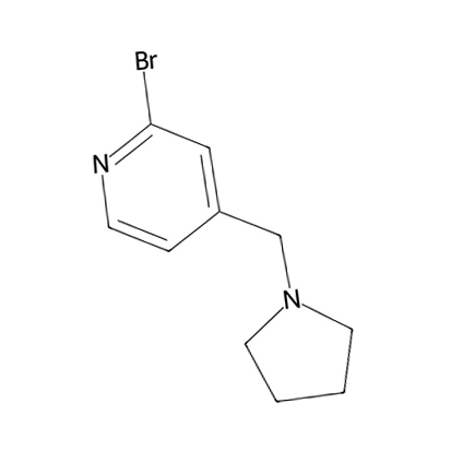 Brc1cc(CN2CCCC2)ccn1